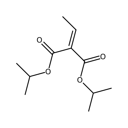 CC=C(C(=O)OC(C)C)C(=O)OC(C)C